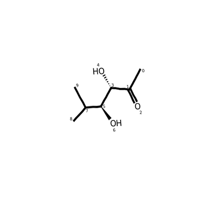 CC(=O)[C@@H](O)[C@@H](O)C(C)C